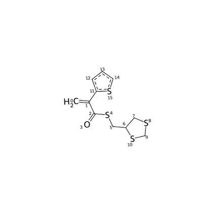 C=C(C(=O)SCC1CSCS1)c1cccs1